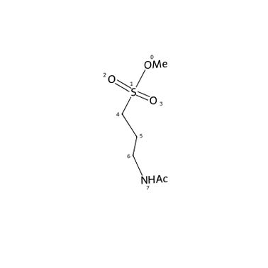 COS(=O)(=O)CCCNC(C)=O